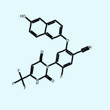 N#Cc1cc(F)c(-n2c(=O)cc(C(F)(F)F)[nH]c2=O)cc1Oc1ccc2cc(O)ccc2c1